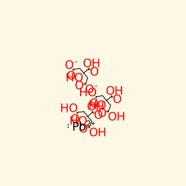 O=C(O)CC(O)(CC(=O)O)C(=O)O.O=C(O)CC(O)(CC(=O)O)C(=O)O.O=C([O-])CC(O)(CC(=O)[O-])C(=O)O.[Pb+2]